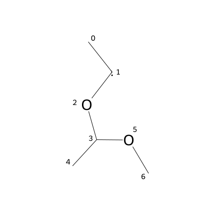 C[CH]OC(C)OC